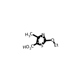 CCOc1nc(C)c(C(=O)O)s1